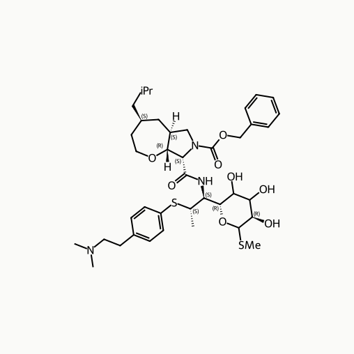 CSC1O[C@H]([C@H](NC(=O)[C@@H]2[C@@H]3OCC[C@@H](CC(C)C)C[C@H]3CN2C(=O)OCc2ccccc2)[C@H](C)Sc2ccc(CCN(C)C)cc2)C(O)C(O)[C@H]1O